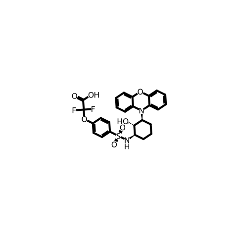 O=C(O)C(F)(F)Oc1ccc(S(=O)(=O)N[C@@H]2CCC[C@H](N3c4ccccc4Oc4ccccc43)[C@H]2O)cc1